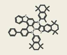 Cc1cc2c(cc1N1c3cc4sc5ccccc5c4c4c3B(c3sc5cc6c(cc5c31)C(C)(C)CCC6(C)C)N(c1ccc3c(c1)C(C)(C)CCC3(C)C)c1ccc(-c3ccccc3)cc1-4)C(C)(C)CCC2(C)C